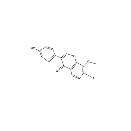 COc1ccc2c(=O)c(-c3ccc(O)cc3)coc2c1OC